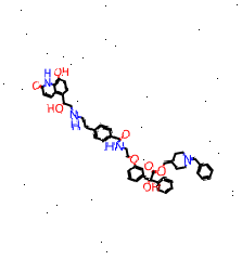 O=C(NCCOc1cccc(C(O)(C(=O)OCC2CCN(Cc3ccccc3)CC2)c2ccccc2)c1)c1ccc(CCNCC(O)c2ccc(O)c3[nH]c(=O)ccc23)cc1